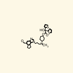 CN(CCCn1cnc2cc(C=O)c3c(c21)CCC3)[C@H]1CC[C@H](OC(=O)C(O)(c2cccs2)c2cccs2)CC1